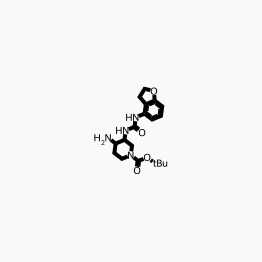 CC(C)(C)OC(=O)N1CCC(N)C(NC(=O)Nc2cccc3c2CCO3)C1